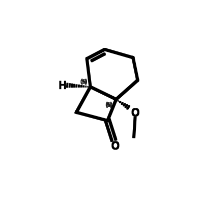 CO[C@@]12CCC=C[C@@H]1CC2=O